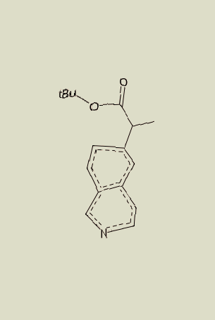 CC(C(=O)OC(C)(C)C)c1ccc2cnccc2c1